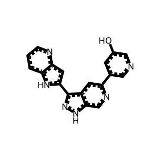 Oc1cncc(-c2cc3c(-c4cc5ncccc5[nH]4)n[nH]c3cn2)c1